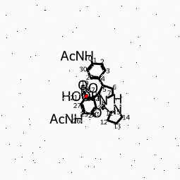 CC(=O)Nc1ccc(C2CCN(C(=O)[C@@H]3CCCN3)[C@]2(OP(=O)(O)O)c2ccc(NC(C)=O)cc2)cc1